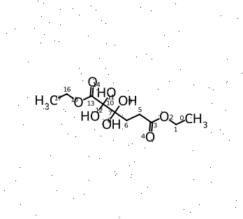 CCOC(=O)CCC(O)(O)C(O)(O)C(=O)OCC